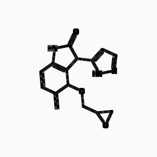 C=C1C=CC2=C(C1OCC1CO1)C(c1ccn[nH]1)C(=O)N2